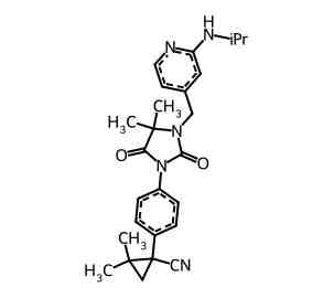 CC(C)Nc1cc(CN2C(=O)N(c3ccc(C4(C#N)CC4(C)C)cc3)C(=O)C2(C)C)ccn1